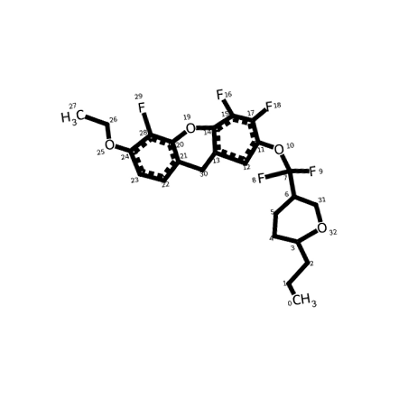 CCCC1CCC(C(F)(F)Oc2cc3c(c(F)c2F)Oc2c(ccc(OCC)c2F)C3)CO1